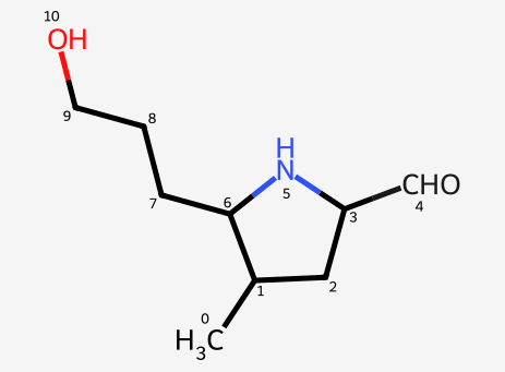 CC1CC(C=O)NC1CCCO